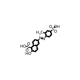 Cc1cc(S(=O)(=O)O)ccc1N=Nc1ccc2c(S(=O)(=O)O)c(O)ccc2c1